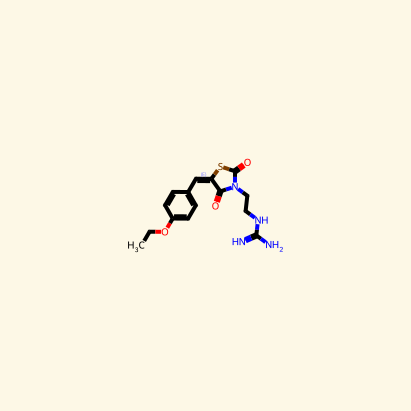 CCOc1ccc(/C=C2/SC(=O)N(CCNC(=N)N)C2=O)cc1